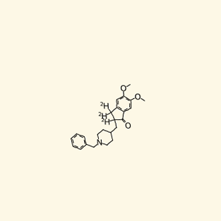 [2H]C1(CC2CCN(Cc3ccccc3)CC2)C(=O)c2cc(OC)c(OC)cc2C1([2H])[2H]